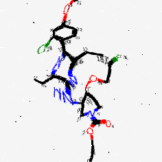 CCOC(=O)N1C[C@H](OCCF)[C@H](Nc2nc(CC)c(-c3ccc(OC)cc3Cl)nc2CC)C1